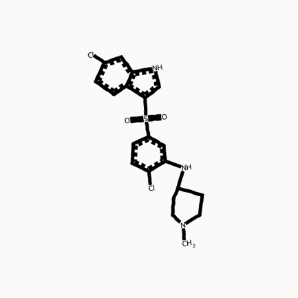 CN1CCC(Nc2cc(S(=O)(=O)c3c[nH]c4cc(Cl)ccc34)ccc2Cl)CC1